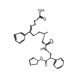 CC(CCC(=CCCC(=O)O)c1ccccc1)CC(=O)NCC(C(=O)OC1CCCC1)c1ccccc1